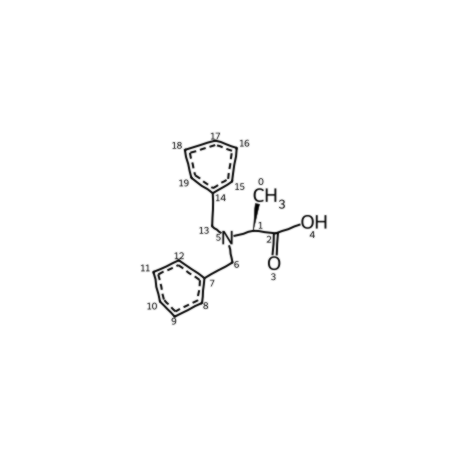 C[C@@H](C(=O)O)N(Cc1ccccc1)Cc1ccccc1